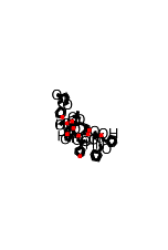 CC(=O)O[C@H]1C(=O)[C@]2(O)[C@@H](PC(=O)[C@H]3CC[C@H](CN4C(=O)C=CC4=O)CC3)C[C@H]3OC[C@@]3(OC(C)=O)[C@H]2[C@H](OC(=O)c2ccccc2)[C@]2(O)C[C@H](OC(=O)[C@@H](O)[C@@H](NC(=O)c3ccccc3)c3ccccc3)C=C1C2(C)C